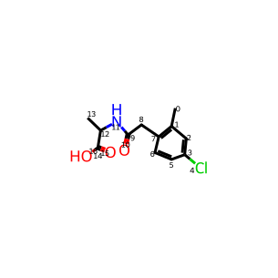 Cc1cc(Cl)ccc1CC(=O)NC(C)C(=O)O